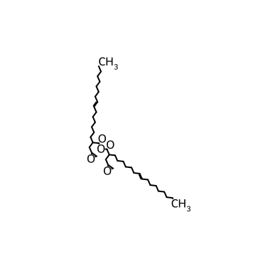 CCCCCCCCC=CCCCCCCC(CC1CO1)C(=O)OC(=O)C(CCCCCCC=CCCCCCCCC)CC1CO1